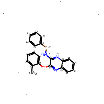 CC(C)(C)c1ccccc1Oc1nc2ccccc2nc1NSc1ccccc1